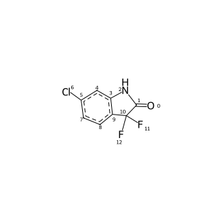 O=C1Nc2cc(Cl)ccc2C1(F)F